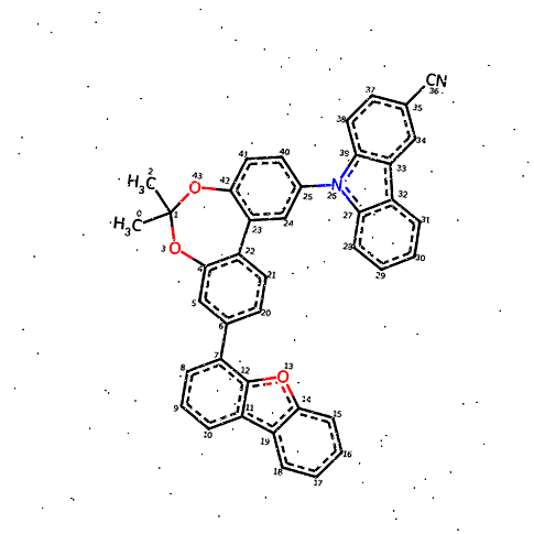 CC1(C)Oc2cc(-c3cccc4c3oc3ccccc34)ccc2-c2cc(-n3c4ccccc4c4cc(C#N)ccc43)ccc2O1